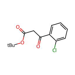 CC(C)(C)OC(=O)CC(=O)c1ccccc1Cl